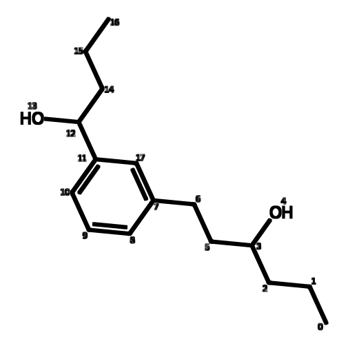 CCCC(O)CCc1cccc(C(O)CCC)c1